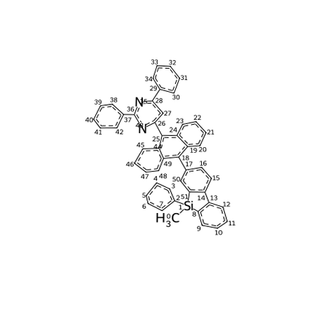 C[Si]1(c2ccccc2)c2ccccc2-c2ccc(-c3c4ccccc4c(-c4cc(-c5ccccc5)nc(-c5ccccc5)n4)c4ccccc34)cc21